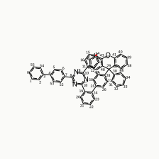 c1ccc(-c2ccc(-c3nc(-c4ccccc4)nc(-c4ccccc4-c4ccc(C5(c6ccccc6)c6ccccc6Oc6ccccc65)cc4)n3)cc2)cc1